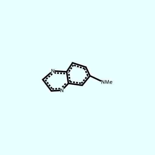 CNc1ccc2nccnc2c1